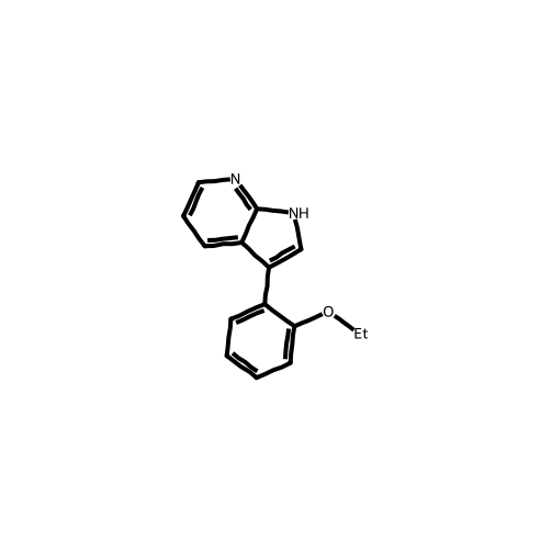 CCOc1ccccc1-c1c[nH]c2ncccc12